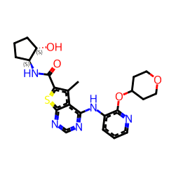 Cc1c(C(=O)N[C@H]2CCC[C@@H]2O)sc2ncnc(Nc3cccnc3OC3CCOCC3)c12